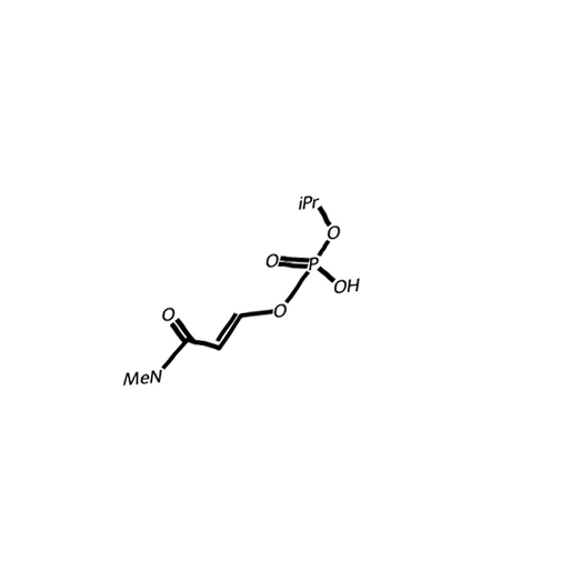 CNC(=O)C=COP(=O)(O)OC(C)C